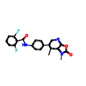 Cc1c(-c2ccc(NC(=O)c3c(F)cccc3F)cc2)cnc2oc(=O)n(C)c12